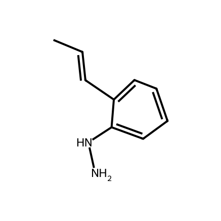 C/C=C/c1ccccc1NN